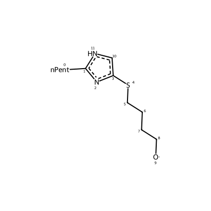 CCCCCc1nc(SCCCC[O])c[nH]1